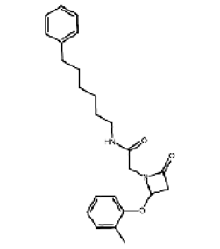 Cc1ccccc1OC1CC(=O)N1CC(=O)NCCCCCCc1ccccc1